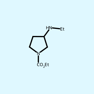 CCNC1CCN(C(=O)OCC)C1